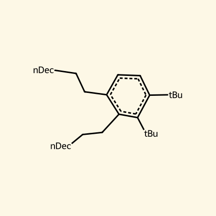 CCCCCCCCCCCCc1ccc(C(C)(C)C)c(C(C)(C)C)c1CCCCCCCCCCCC